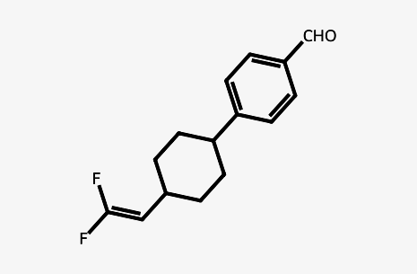 O=Cc1ccc(C2CCC(C=C(F)F)CC2)cc1